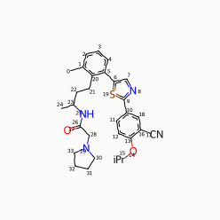 Cc1cccc(-c2cnc(-c3ccc(OC(C)C)c(C#N)c3)s2)c1CCC(C)NC(=O)CN1CCCC1